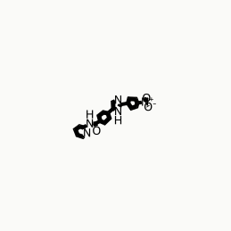 O=C(Nc1ccccn1)c1ccc(-c2cnc(-c3ccc([N+](=O)[O-])cc3)[nH]2)cc1